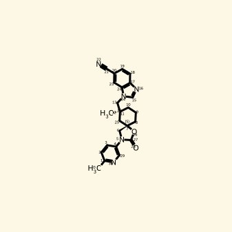 Cc1ccc(N2C[C@@]3(CCC[C@](C)(Cn4cnc5ccc(C#N)cc54)C3)OC2=O)cn1